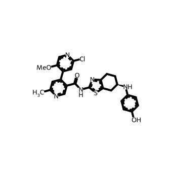 COc1cnc(Cl)cc1-c1cc(C)ncc1C(=O)Nc1nc2c(s1)C[C@H](Nc1ccc(O)cc1)CC2